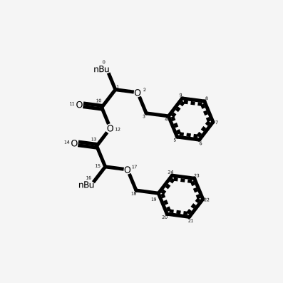 CCCCC(OCc1ccccc1)C(=O)OC(=O)C(CCCC)OCc1ccccc1